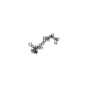 Cc1sc2c(c1C)C(c1ccc(Cl)cc1)=N[C@@H](CC(=O)NCCOCCOCCOCCC(=O)NC1CCN(C(=O)c3ccc4c(c3)CC(=O)N4)CC1)c1nnc(C)n1-2